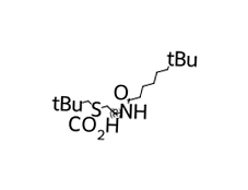 CC(C)(C)CCCCCC(=O)N[C@@H](CSCC(C)(C)C)C(=O)O